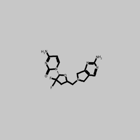 Nc1ccn([C@@H]2OC(CN3Cc4cnc(N)nc4C3)CC2(F)F)c(=O)n1